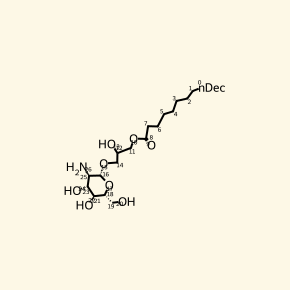 CCCCCCCCCCCCCCCCCC(=O)OCC(O)CO[C@@H]1O[C@H](CO)[C@@H](O)[C@H](O)[C@H]1N